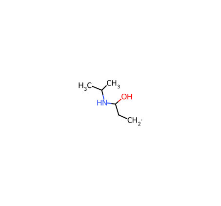 [CH2]CC(O)NC(C)C